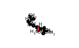 CNC(=O)c1nc([C@@H]2CCCN2C(=O)[C@](C)(OC(N)=O)c2ccccc2)[nH]c1-c1ccc(-c2ccc(-c3cnc(C4CCCN4C(=O)C(NC(=O)OC)c4ccccc4)[nH]3)cc2)cc1